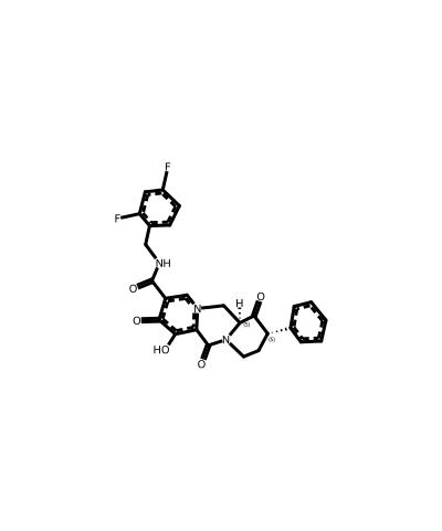 O=C(NCc1ccc(F)cc1F)c1cn2c(c(O)c1=O)C(=O)N1CC[C@@H](c3ccccc3)C(=O)[C@@H]1C2